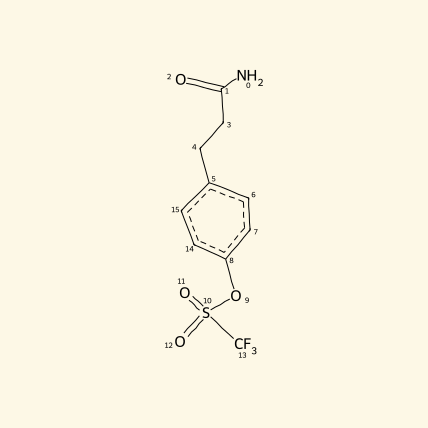 NC(=O)CCc1ccc(OS(=O)(=O)C(F)(F)F)cc1